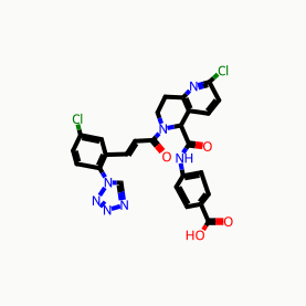 O=C(O)c1ccc(NC(=O)C2c3ccc(Cl)nc3CCN2C(=O)/C=C/c2cc(Cl)ccc2-n2cnnn2)cc1